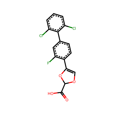 O=C(O)C1OC=C(c2ccc(-c3c(Cl)cccc3Cl)cc2F)O1